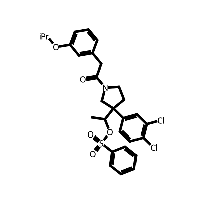 CC(C)Oc1cccc(CC(=O)N2CCC(c3ccc(Cl)c(Cl)c3)(C(C)OS(=O)(=O)c3ccccc3)C2)c1